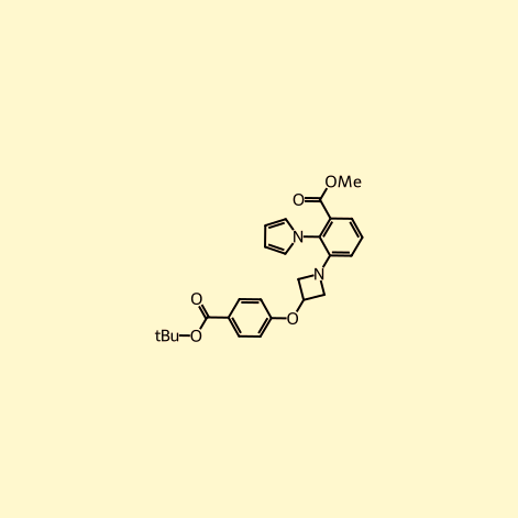 COC(=O)c1cccc(N2CC(Oc3ccc(C(=O)OC(C)(C)C)cc3)C2)c1-n1cccc1